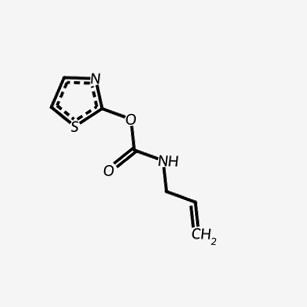 C=CCNC(=O)Oc1nccs1